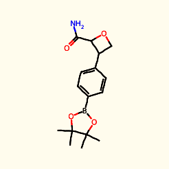 CC1(C)OB(c2ccc(C3COC3C(N)=O)cc2)OC1(C)C